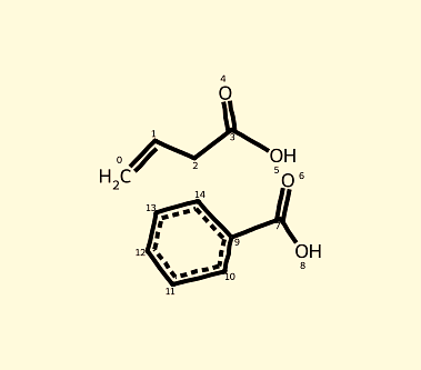 C=CCC(=O)O.O=C(O)c1ccccc1